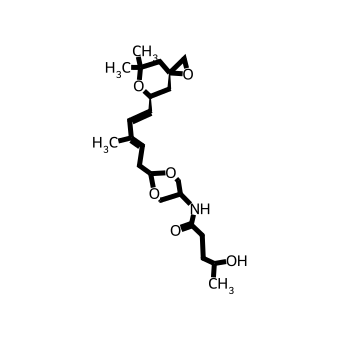 CC(C=C[C@@H]1C[C@]2(CO2)CC(C)(C)O1)=CCC1OCC(NC(=O)CCC(C)O)CO1